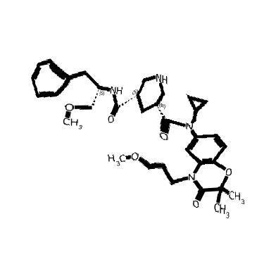 COCCCN1C(=O)C(C)(C)Oc2ccc(N(C(=O)[C@H]3CNC[C@@H](C(=O)N[C@H](COC)Cc4ccccc4)C3)C3CC3)cc21